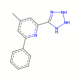 Cc1cc(C2=NNNN2)nc(-c2ccccc2)c1